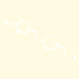 CCCCOCC1CCC(CCc2ccc(C(=O)O)cc2)CC1